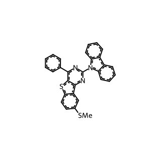 CSc1ccc2sc3c(-c4ccccc4)nc(-n4c5ccccc5c5ccccc54)nc3c2c1